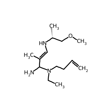 C=CCCN(CC)C(N)/C(C)=C/N[C@H](C)COC